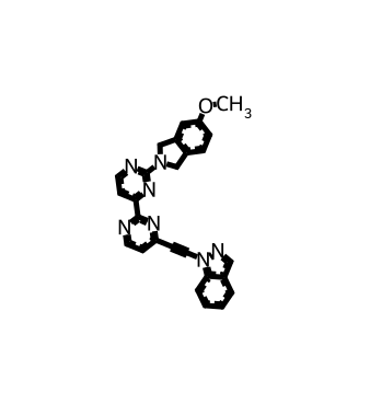 COc1ccc2c(c1)CN(c1nccc(-c3nccc(C#Cn4ncc5ccccc54)n3)n1)C2